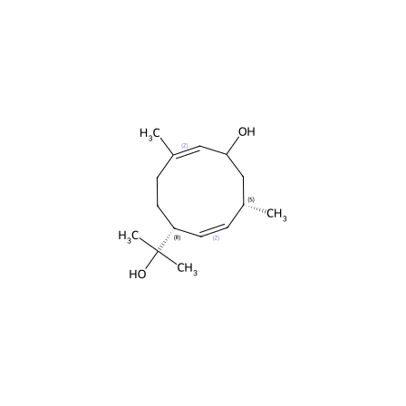 C/C1=C/C(O)C[C@H](C)/C=C\[C@H](C(C)(C)O)CC1